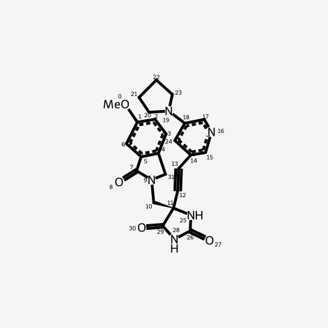 COc1ccc2c(c1)C(=O)N(C[C@@]1(C#Cc3cncc(N4CCCC4)c3)NC(=O)NC1=O)C2